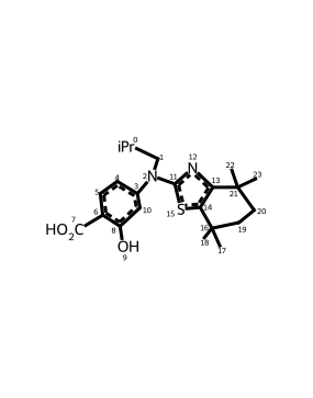 CC(C)CN(c1ccc(C(=O)O)c(O)c1)c1nc2c(s1)C(C)(C)CCC2(C)C